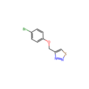 Brc1ccc(OCc2csnn2)cc1